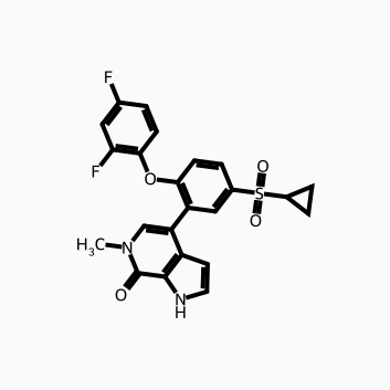 Cn1cc(-c2cc(S(=O)(=O)C3CC3)ccc2Oc2ccc(F)cc2F)c2cc[nH]c2c1=O